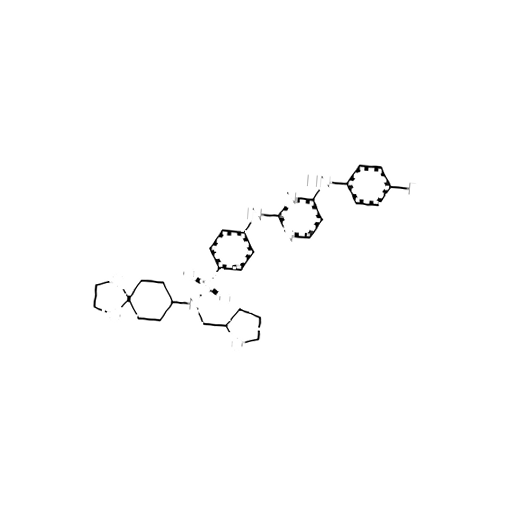 O=S(=O)(c1ccc(Nc2nccc(Nc3ccc(F)cc3)n2)cc1)N(CC1CCCO1)C1CCC2(CC1)OCCO2